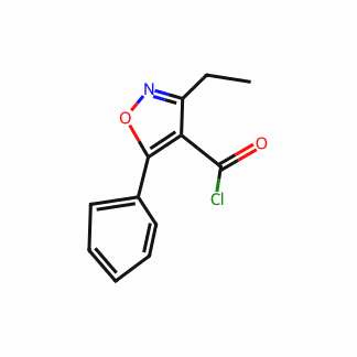 CCc1noc(-c2ccccc2)c1C(=O)Cl